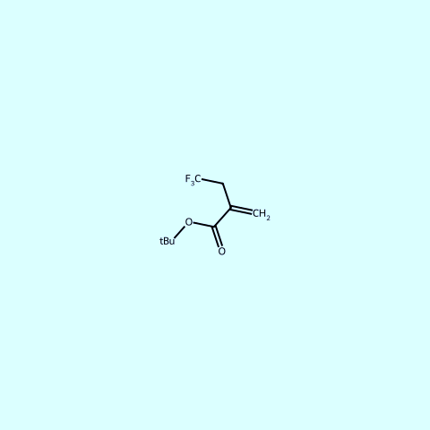 C=C(CC(F)(F)F)C(=O)OC(C)(C)C